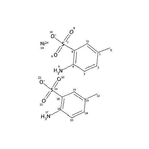 Cc1ccc(N)c(S(=O)(=O)[O-])c1.Cc1ccc(N)c(S(=O)(=O)[O-])c1.[Ni+2]